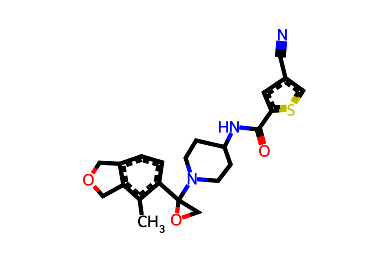 Cc1c(C2(N3CCC(NC(=O)c4cc(C#N)cs4)CC3)CO2)ccc2c1COC2